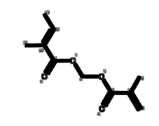 C=C(C)C(=O)OCOC(=O)C(C)=CC